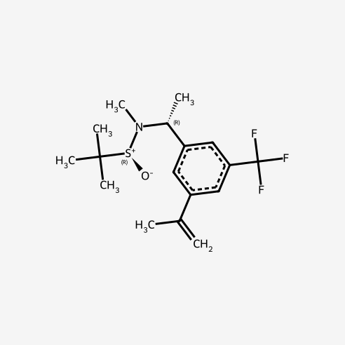 C=C(C)c1cc([C@@H](C)N(C)[S@@+]([O-])C(C)(C)C)cc(C(F)(F)F)c1